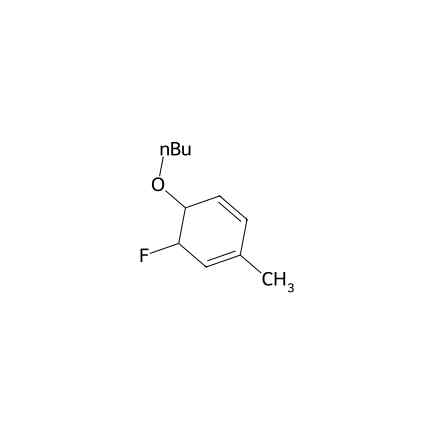 CCCCOC1C=CC(C)=CC1F